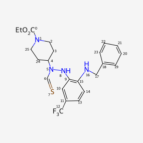 CCOC(=O)N1CCC(N(C=S)Nc2cc(C(F)(F)F)ccc2NCc2ccccc2)CC1